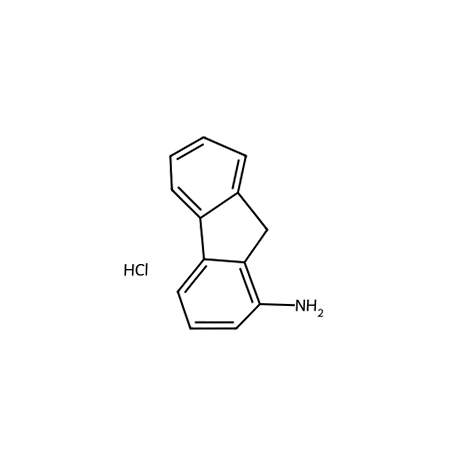 Cl.Nc1cccc2c1Cc1ccccc1-2